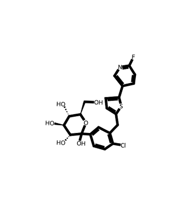 OC[C@H]1OC(O)(c2ccc(Cl)c(Cc3ccc(-c4ccc(F)nc4)s3)c2)[C@H](O)[C@@H](O)[C@@H]1O